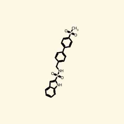 CS(=O)(=O)c1ccc(-c2ccc(CNS(=O)(=O)c3cc4ccccc4[nH]3)cc2)cc1